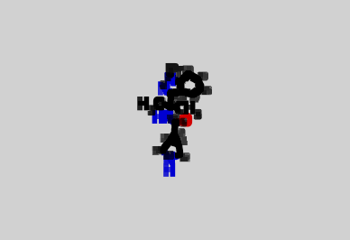 CC(C)n1nc(C(C)(C)NC(=O)C2C3CNCC32)c2ccccc21